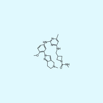 CNC(=O)N1CC(CNc2cc(C)nc(Nc3ccc(OC)c(-n4cc5c(n4)CCN(C)C5)c3)n2)C1